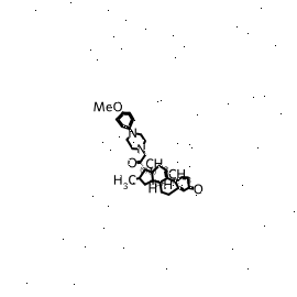 COc1ccc(N2CCN(CC(=O)[C@H]3C(C)C[C@H]4[C@@H]5CCC6=CC(=O)C=C[C@]6(C)C5=CC[C@]34C)CC2)cc1